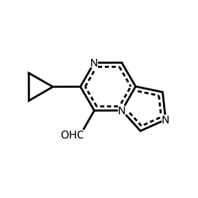 O=Cc1c(C2CC2)ncc2cncn12